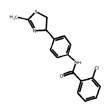 CC1=NC(c2ccc(NC(=O)c3ccccc3Cl)cc2)CS1